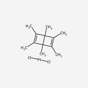 CC1=C(C)C2(C)C(C)=C(C)C12C.[Cl][Pt][Cl]